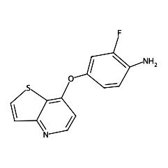 Nc1ccc(Oc2ccnc3ccsc23)cc1F